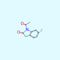 CC(=O)N1C(=O)Cc2ccc(F)cc21